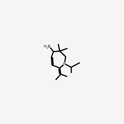 BC1C=CC(=C(C)C)N(C(C)C)CC1(C)C